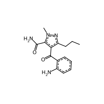 CCCc1nn(C)c(C(N)=O)c1C(=O)c1ccccc1N